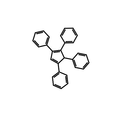 C1=C(c2ccccc2)C(c2ccccc2)C(c2ccccc2)=C1c1ccccc1